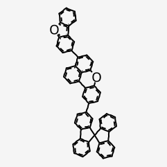 c1ccc2c(c1)-c1ccccc1C21c2ccccc2-c2ccc(-c3ccc4c(c3)-c3cccc5c(-c6ccc7oc8ccccc8c7c6)ccc(c35)O4)cc21